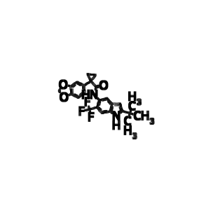 CC(C)(C)c1cc2cc(NC(=O)C3(c4ccc5c(c4)OCO5)CC3)c(C(F)(F)F)cc2[nH]1